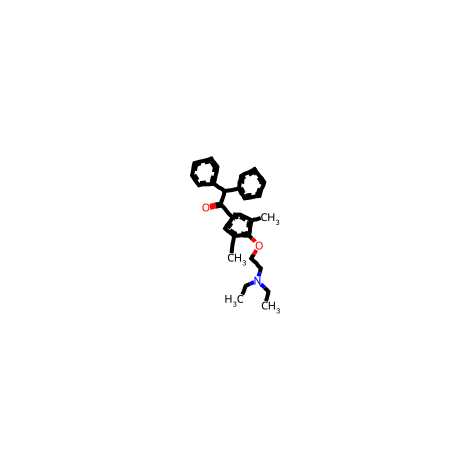 CCN(CC)CCOc1c(C)cc(C(=O)C(c2ccccc2)c2ccccc2)cc1C